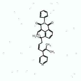 C=C(C/C=C\C(=C(C)C)c1ccncc1)c1cccc2c1/C(=C\C)C(=O)N(c1ccccc1)C2=O